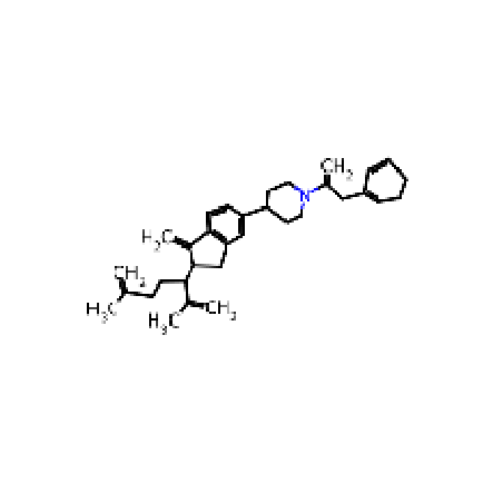 C=C(C)CCC(C(=C)C)C1Cc2cc(C3CCN(C(=C)CC4=CCCC=C4)CC3)ccc2C1=C